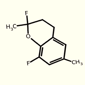 Cc1cc(F)c2c(c1)CCC(C)(F)O2